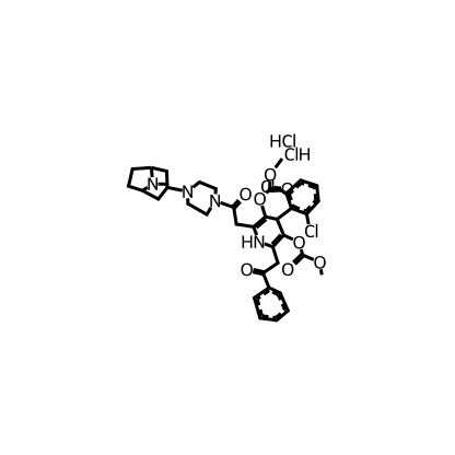 COC(=O)OC1=C(CC(=O)c2ccccc2)NC(CC(=O)N2CCN(C3CC4CCC(C3)N4C)CC2)=C(OC(=O)OC)C1c1c(Cl)cccc1Cl.Cl.Cl